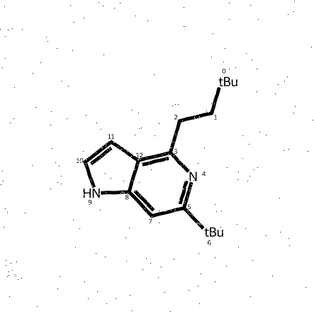 CC(C)(C)CCc1nc(C(C)(C)C)cc2[nH]ccc12